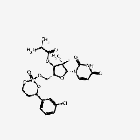 CC(N)C(=O)O[C@@H]1[C@@H](COP2(=O)OCCC(c3cccc(Cl)c3)O2)O[C@@H](n2ccc(=O)[nH]c2=O)[C@]1(C)F